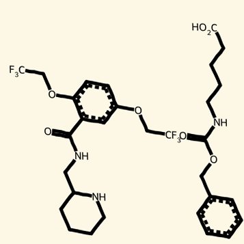 O=C(NCC1CCCCN1)c1cc(OCC(F)(F)F)ccc1OCC(F)(F)F.O=C(O)CCCCNC(=O)OCc1ccccc1